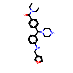 CCN(CC)C(=O)c1ccc(C(c2cccc(NCc3ccoc3)c2)N2CCNCC2)cc1